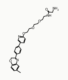 Cc1ccc2c(c1)N=C(c1ccc(-c3ccc(OCCOCCOCCNC(=O)CN)nc3)cc1)CO2